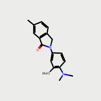 COc1cc(N2Cc3ccc(C)cc3C2=O)ccc1N(C)C